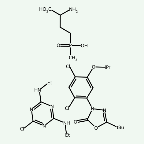 CC(C)Oc1cc(-n2nc(C(C)(C)C)oc2=O)c(Cl)cc1Cl.CCNc1nc(Cl)nc(NCC)n1.CP(=O)(O)CCC(N)C(=O)O